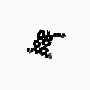 Nc1nc(O[C@H](c2ccc(-c3ccccc3)cc2)C(F)(F)F)cc(N2CCC3(CC2)CN[C@H](C(=O)O)C3)n1